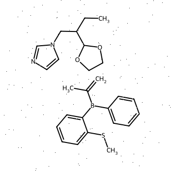 C=C(C)B(c1ccccc1)c1ccccc1SC.CCC(Cn1ccnc1)C1OCCO1